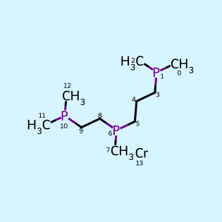 CP(C)CCCP(C)CCP(C)C.[Cr]